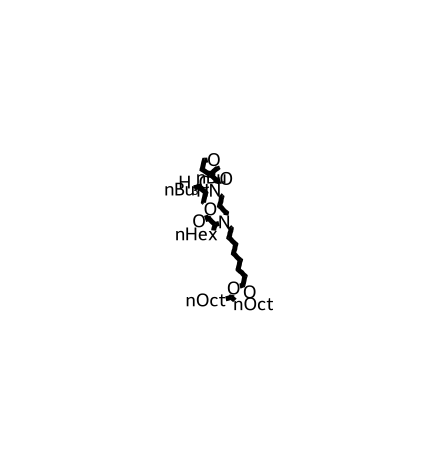 CCCCCCCCC(CCCCCCCC)OC(=O)CCCCCCCN(CCCNC(=O)C1(C)CCOC1)C(CCCCCC)C(=O)OCCC(CCCC)CCCC